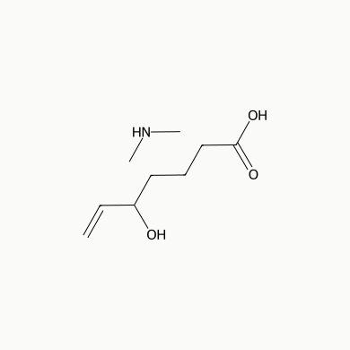 C=CC(O)CCCC(=O)O.CNC